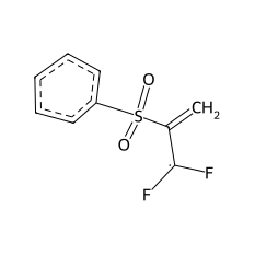 C=C([C](F)F)S(=O)(=O)c1ccccc1